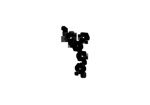 CCOC(=O)Nc1nc2cc(-c3ccc(CN4CCN(C)C(=O)C4)nc3)cc(-c3ncccn3)c2[nH]1